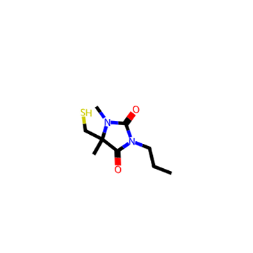 CCCN1C(=O)N(C)C(C)(CS)C1=O